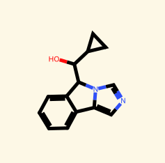 OC(C1CC1)C1c2ccccc2-c2cncn21